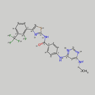 CCNc1cc(Nc2ccc(C(=O)Nc3nc(-c4cccc(C(F)(F)F)c4F)cs3)cc2)ncn1